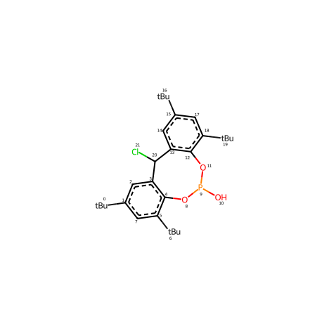 CC(C)(C)c1cc2c(c(C(C)(C)C)c1)OP(O)Oc1c(cc(C(C)(C)C)cc1C(C)(C)C)C2Cl